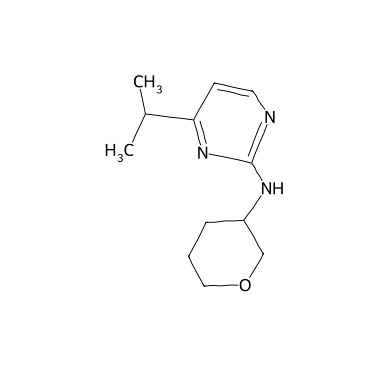 CC(C)c1ccnc(NC2CCCOC2)n1